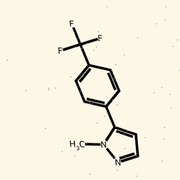 Cn1nccc1-c1ccc(C(F)(F)F)cc1